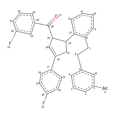 CC(=O)c1cccc(CCc2ccccc2C2CC(c3ccc(F)cc3)=CC2C(=O)c2cccc(F)c2)c1